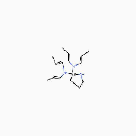 CC=C[N](C=CC)[Sn]1([N](C=CC)C=CC)[CH2]CC[NH]1